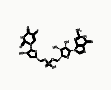 Nc1nc2c(ncn2[C@@H]2O[C@H](COP(O)(=S)OC[C@@H]3C[C@H](O)[C@H](n4cc(F)c(=O)[nH]c4=O)O3)[C@H](O)[C@@H]2O)c(=S)[nH]1